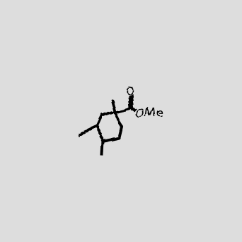 COC(=O)C1(C)CCC(C)C(C)C1